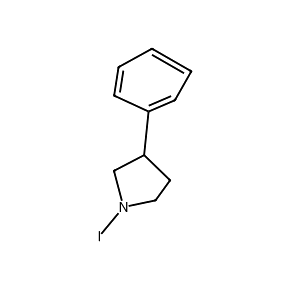 IN1CCC(c2ccccc2)C1